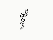 CN(C)C(=O)Cc1ccc(-c2ccnc3[nH]ccc23)cc1